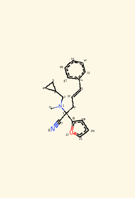 CN(CC1CC1)C(C#N)(CC=Cc1ccccc1)c1ccco1